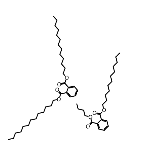 CCCCCCCCCCCCCOC(=O)c1ccccc1C(=O)OCCCCCCCCCCCCC.CCCCCCCCCCCCOC(=O)c1ccccc1C(=O)OCCCC